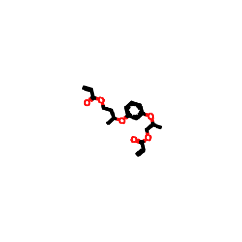 C=CC(=O)OCCC(C)Oc1cccc(OC(C)COC(=O)C=C)c1